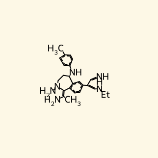 CCN/C=C(\C=N)c1ccc2c(c1)C(Nc1ccc(C)cc1)CCN(N)/C2=C(/C)N